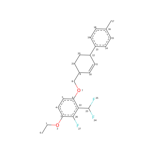 CCOc1ccc(OCC2C=CC(c3ccc(C)cc3)CC2)c(C(F)F)c1F